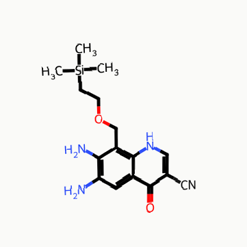 C[Si](C)(C)CCOCc1c(N)c(N)cc2c(=O)c(C#N)c[nH]c12